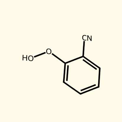 N#Cc1ccccc1OO